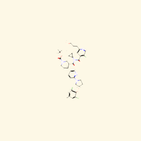 COCCCc1cc(C(=O)N(C(=O)[C@@H]2CN(C(=O)OC(C)(C)C)CC[C@H]2c2ccc(N3CC[C@@H](Oc4c(Cl)cc(C)cc4Cl)C3)nc2)C2CC2)c(Cl)cn1